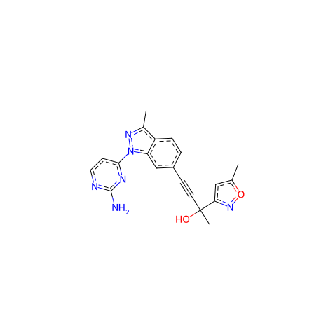 Cc1cc(C(C)(O)C#Cc2ccc3c(C)nn(-c4ccnc(N)n4)c3c2)no1